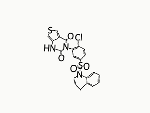 O=c1[nH]c2cscc2c(=O)n1-c1cc(S(=O)(=O)N2CCCc3ccccc32)ccc1Cl